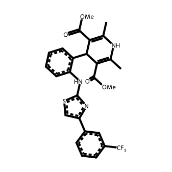 COC(=O)C1=C(C)NC(C)=C(C(=O)OC)C1c1ccccc1Nc1nc(-c2cccc(C(F)(F)F)c2)cs1